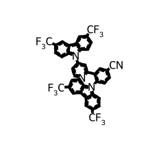 N#Cc1ccc(-n2c3ccc(C(F)(F)F)cc3c3cc(C(F)(F)F)ccc32)c(-c2cc(-n3c4ccc(C(F)(F)F)cc4c4cc(C(F)(F)F)ccc43)ccn2)c1